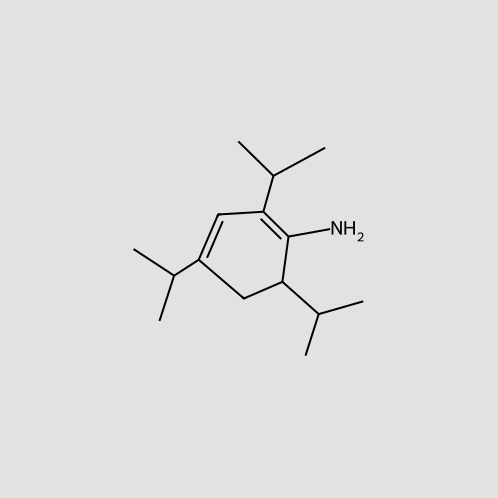 CC(C)C1=CC(C(C)C)=C(N)C(C(C)C)C1